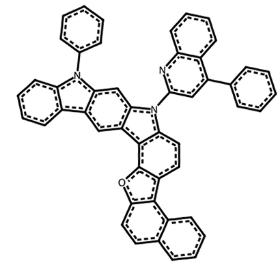 c1ccc(-c2cc(-n3c4cc5c(cc4c4c6oc7ccc8ccccc8c7c6ccc43)c3ccccc3n5-c3ccccc3)nc3ccccc23)cc1